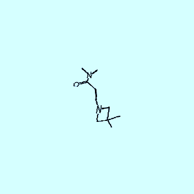 CN(C)C(=O)CCN1CC(C)(C)C1